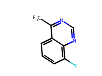 Fc1cccc2c(C(F)(F)F)ncnc12